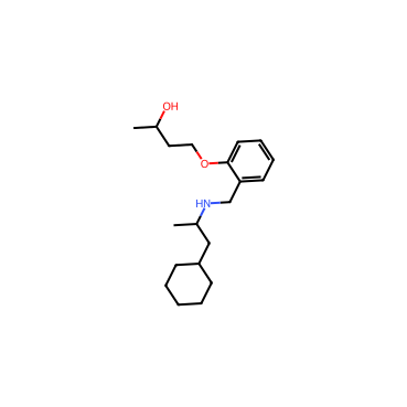 CC(O)CCOc1ccccc1CNC(C)CC1CCCCC1